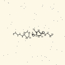 CCCCC[C@H]1CC[C@H](COc2ccc(OCCCC)cc2C)CC1